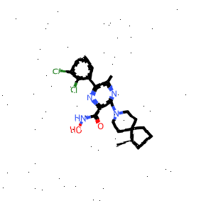 Cc1nc(N2CCC3(CCC[C@H]3C)CC2)c(C(=O)NO)nc1-c1cccc(Cl)c1Cl